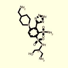 NCC1CCN(c2ccc(S(=O)(=O)N[C@@H](CN)CO)c(S(N)(=O)=O)c2-c2nn[nH]n2)CC1